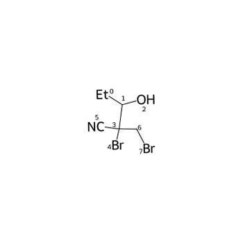 CCC(O)C(Br)(C#N)CBr